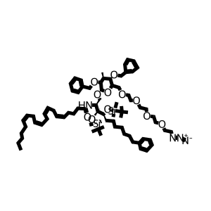 CCCCC/C=C\C/C=C\C/C=C\C/C=C\CCCC(=O)N[C@@H](CO[C@H]1OC(COCCOCCOCCOCCN=[N+]=[N-])[C@H](OCc2ccccc2)[C@H](C)C1OCc1ccccc1)[C@H](O[Si](C)(C)C(C)(C)C)[C@H](CCCCCCCc1ccccc1)O[Si](C)(C)C(C)(C)C